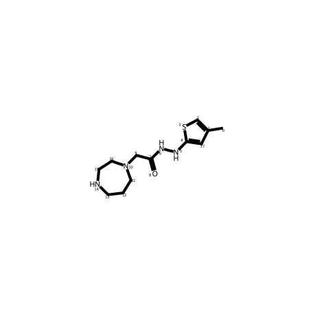 Cc1csc(NNC(=O)CN2CCCNCC2)c1